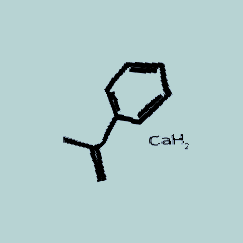 C=C(C)c1ccccc1.[CaH2]